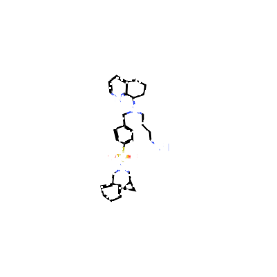 NCCCCN(Cc1ccc(S(=O)(=O)N(Cc2ccccc2)CC2CC2)cc1)C1CCCc2cccnc21